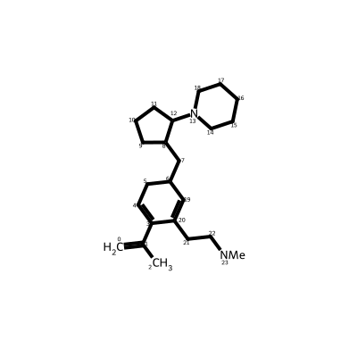 C=C(C)C1=CCC(CC2CCCC2N2CCCCC2)C=C1CCNC